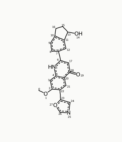 COc1cc2[nH]c(-c3ccc4c(c3)C(O)CC4)cc(=O)c2cc1-c1cnco1